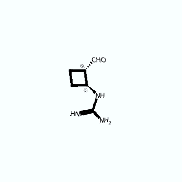 N=C(N)N[C@H]1CC[C@@H]1C=O